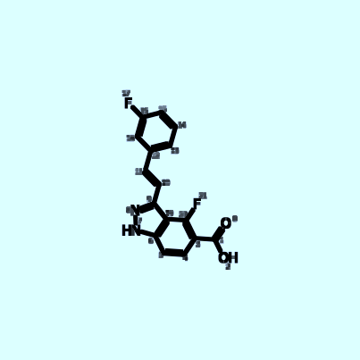 O=C(O)c1ccc2[nH]nc(/C=C/c3cccc(F)c3)c2c1F